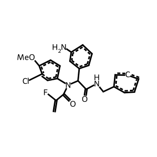 C=C(F)C(=O)N(c1ccc(OC)c(Cl)c1)C(C(=O)NCc1ccccc1)c1cccc(N)c1